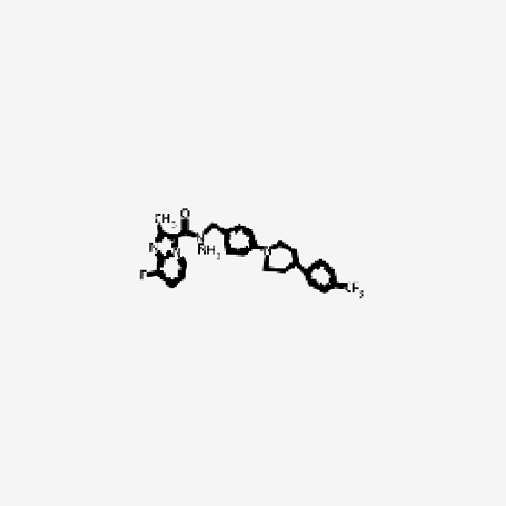 Cc1nc2c(F)cccn2c1C(=O)N(N)Cc1ccc(N2CCC(c3ccc(C(F)(F)F)cc3)CC2)cc1